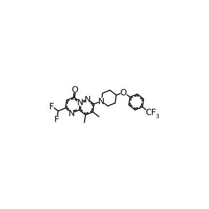 Cc1c(N2CCC(Oc3ccc(C(F)(F)F)cc3)CC2)nn2c(=O)cc(C(F)F)nc2c1C